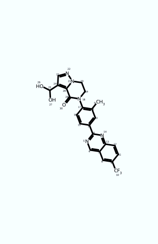 Cc1cc(-c2ncc3cc(C(F)(F)F)ccc3n2)ccc1N1CCn2ncc(C(O)O)c2C1=O